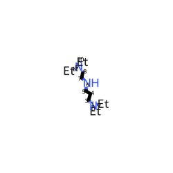 CCN(CC)CCCNCCN(CC)CC